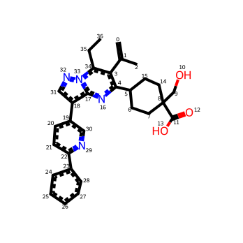 C=C(C)c1c(C2CCC(CO)(C(=O)O)CC2)nc2c(-c3ccc(-c4ccccc4)nc3)cnn2c1CC